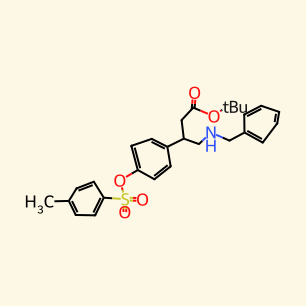 Cc1ccc(S(=O)(=O)Oc2ccc(C(CNCc3ccccc3)CC(=O)OC(C)(C)C)cc2)cc1